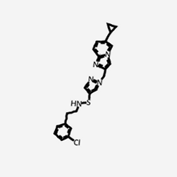 Clc1cccc(CCNSc2cnn(Cc3cn4cc(C5CC5)ccc4n3)c2)c1